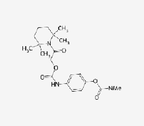 CNC(=O)Oc1ccc(NC(=O)OCC(=O)N2C(C)(C)CCCC2(C)C)cc1